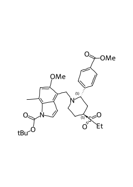 CCS(=O)(=O)[C@H]1CCN(Cc2c(OC)cc(C)c3c2ccn3C(=O)OC(C)(C)C)[C@H](c2ccc(C(=O)OC)cc2)C1